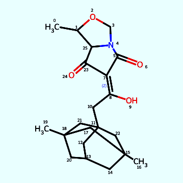 CC1OCN2C(=O)/C(=C(\O)CC34CC5CC(C)(CC(C)(C5)C3)C4)C(=O)C12